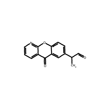 CC(C=O)c1ccc2oc3ncccc3c(=O)c2c1